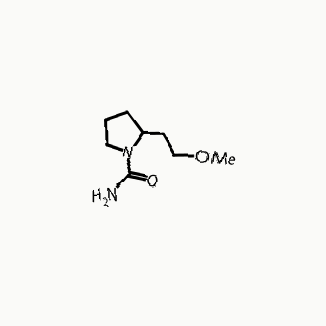 COCCC1CCCN1C(N)=O